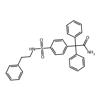 NC(=O)C(c1ccccc1)(c1ccccc1)c1ccc(S(=O)(=O)NCCc2ccccc2)cc1